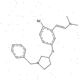 CN(C)/C=C/c1cc(OC2CCN(Cc3ccccc3)C2)ccc1C#N